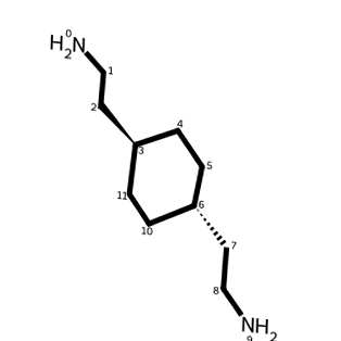 NCC[C@H]1CC[C@H](CCN)CC1